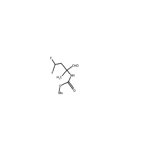 CC(C=O)(CC(F)F)NC(=O)OC(C)(C)C